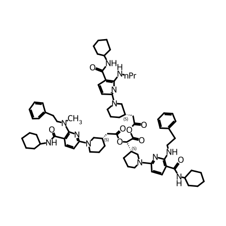 CCCNc1nc(N2CCC[C@@H](CC(=O)OC(=O)C(OC(=O)C[C@@H]3CCCN(c4ccc(C(=O)NC5CCCCC5)c(N(C)CCc5ccccc5)n4)C3)[C@H]3CCCN(c4ccc(C(=O)NC5CCCCC5)c(NCCc5ccccc5)n4)C3)C2)ccc1C(=O)NC1CCCCC1